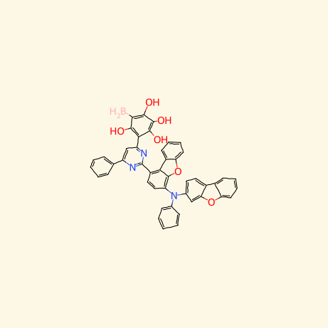 Bc1c(O)c(O)c(O)c(-c2cc(-c3ccccc3)nc(-c3ccc(N(c4ccccc4)c4ccc5c(c4)oc4ccccc45)c4oc5ccccc5c34)n2)c1O